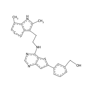 Cc1[nH]c2c(C)cccc2c1CCNc1ncnc2cc(-c3cccc(CO)c3)sc12